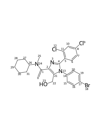 C=C(c1nc(-c2ccc(Cl)cc2Cl)n(-c2ccc(Br)cc2)c1CO)N(C)C1CCCCC1